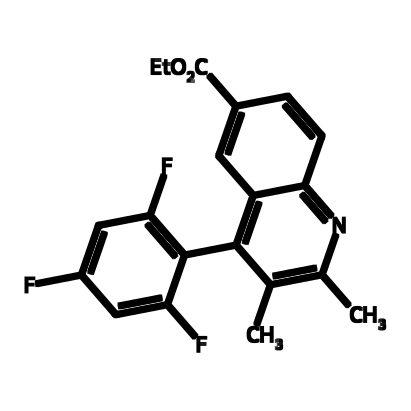 CCOC(=O)c1ccc2nc(C)c(C)c(-c3c(F)cc(F)cc3F)c2c1